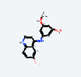 Bc1ccc2nccc(Nc3cc(O)cc(OC)c3)c2c1